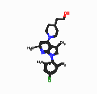 Bc1cc(Cl)cc(C)c1-n1cc(C)c2c(N3CCC(CCO)CC3)cc(C)nc21